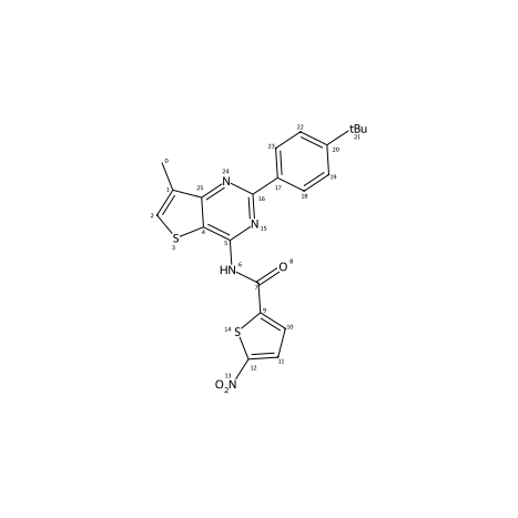 Cc1csc2c(NC(=O)c3ccc([N+](=O)[O-])s3)nc(-c3ccc(C(C)(C)C)cc3)nc12